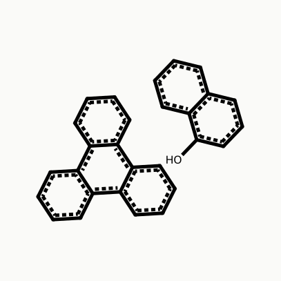 Oc1cccc2ccccc12.c1ccc2c(c1)c1ccccc1c1ccccc21